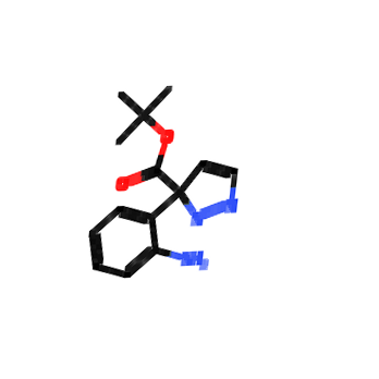 CC(C)(C)OC(=O)C1(c2ccccc2N)C=CN=N1